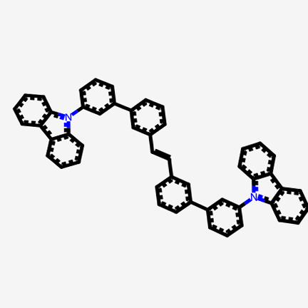 C(=C\c1cccc(-c2cccc(-n3c4ccccc4c4ccccc43)c2)c1)/c1cccc(-c2cccc(-n3c4ccccc4c4ccccc43)c2)c1